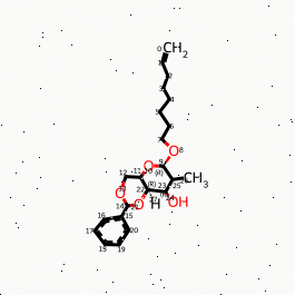 C=CCCCCCCO[C@@H]1OC2COC(c3ccccc3)O[C@@H]2[C@H](O)C1C